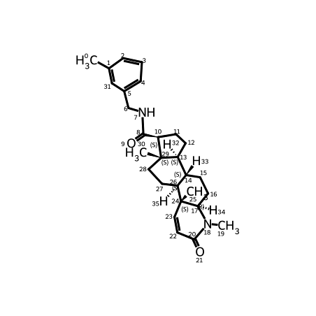 Cc1cccc(CNC(=O)[C@H]2CC[C@H]3[C@@H]4CC[C@H]5N(C)C(=O)C=C[C@]5(C)[C@H]4CC[C@]23C)c1